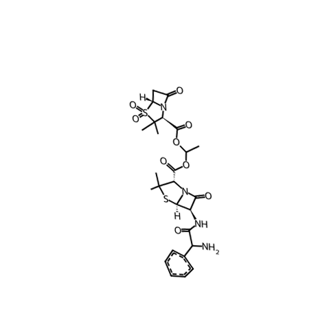 CC(OC(=O)[C@@H]1N2C(=O)[C@@H](NC(=O)C(N)c3ccccc3)[C@H]2SC1(C)C)OC(=O)[C@@H]1N2C(=O)C[C@H]2S(=O)(=O)C1(C)C